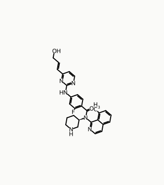 Cc1cccc2ccnc(N(C(=O)c3ccc(Nc4nccc(/C=C/CO)n4)cc3F)[C@@H]3CCCNC3)c12